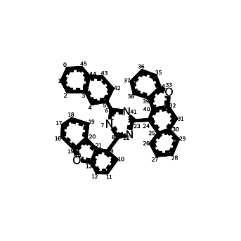 c1ccc2cc(-c3nc(-c4cccc5oc6ccccc6c45)nc(-c4c5ccccc5cc5oc6ccccc6c45)n3)ccc2c1